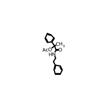 CC(=O)OC(C)(C(=O)NCCc1ccccc1)c1ccccc1